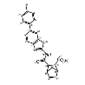 Cc1ccc(-c2ccc3nc(NC(=O)C4C5C=CC(C5)C4C(=O)O)sc3c2)cc1